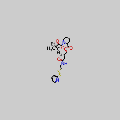 CCC(C)(C)C(=O)C(=O)N1CCCC[C@H]1C(=O)OCCCC(=O)NCCSSc1ccccn1